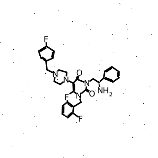 Cc1c(N2CCN(Cc3ccc(F)cc3)CC2)c(=O)n(C[C@H](N)c2ccccc2)c(=O)n1Cc1c(F)cccc1F